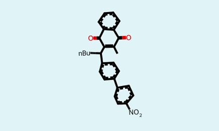 CCCCC(C1=C(C)C(=O)c2ccccc2C1=O)c1ccc(-c2ccc([N+](=O)[O-])cc2)cc1